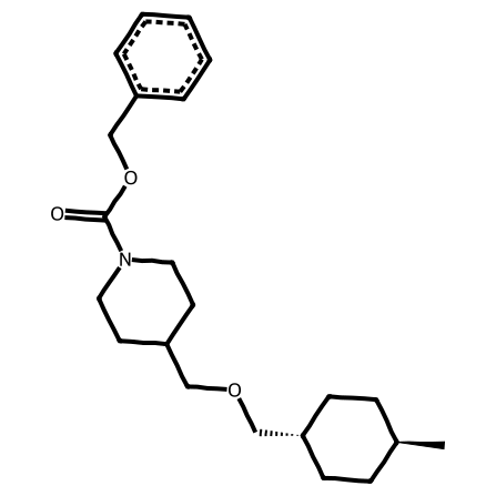 C[C@H]1CC[C@H](COCC2CCN(C(=O)OCc3ccccc3)CC2)CC1